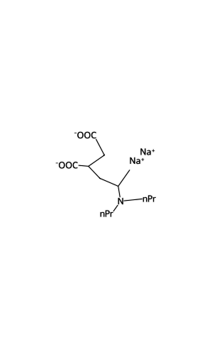 CCCN(CCC)C(C)CC(CC(=O)[O-])C(=O)[O-].[Na+].[Na+]